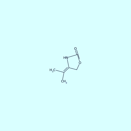 CC(C)=C1COC(=O)N1